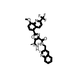 COc1ccc(-c2nc(C(=O)NCc3cnc4ccccc4c3)c([C@H](C)N)o2)c2ccc(C(F)(F)F)nc12